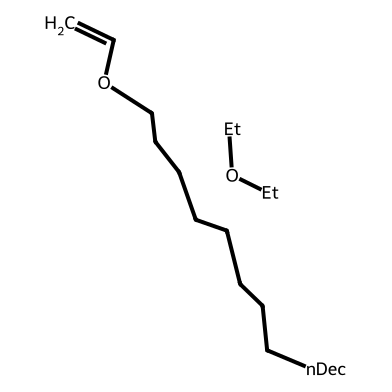 C=COCCCCCCCCCCCCCCCCCC.CCOCC